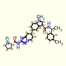 Cc1cccc([C@H](C)NC(=O)c2cn(C)c3ccc(-c4ccn5nc(NC(=O)[C@@H]6CCCN6Cl)nc5c4)cc23)c1